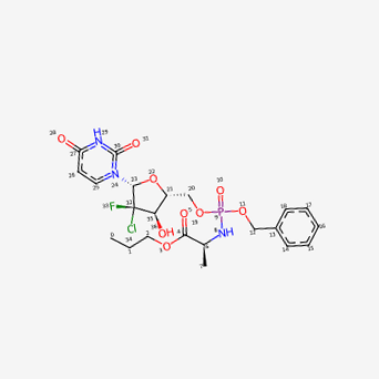 CCCOC(=O)[C@H](C)NP(=O)(OCc1ccccc1)OC[C@H]1O[C@@H](n2ccc(=O)[nH]c2=O)[C@@](F)(Cl)[C@@H]1O